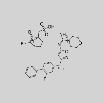 CC1(C)C2CCC1(CS(=O)(=O)O)C(=O)C2Br.C[C@H](c1ccc(-c2ccccc2)c(F)c1)c1cc(N=C(N)N2CCOCC2)on1